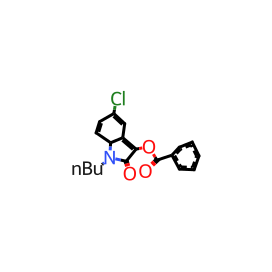 CCCCN1C(=O)C(OC(=O)c2ccccc2)=C2C=C(Cl)C=CC21